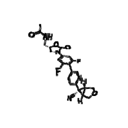 CC(=O)NC[C@H]1CN(c2cc(F)c(-c3ccc([C@@]4(C#N)[C@@H]5COC[C@@H]54)nc3)c(F)c2)C(=O)O1